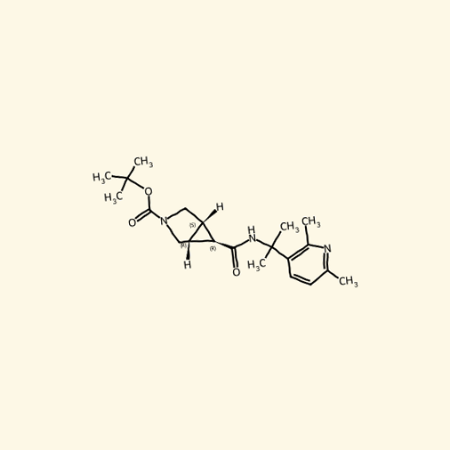 Cc1ccc(C(C)(C)NC(=O)[C@H]2[C@@H]3CN(C(=O)OC(C)(C)C)C[C@@H]32)c(C)n1